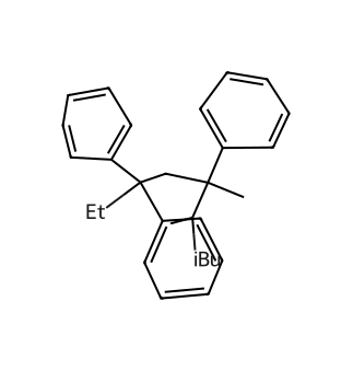 CCC(C)C(C)C(C)(CC(CC)(c1ccccc1)c1ccccc1)c1ccccc1